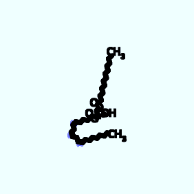 CCCCCCCC/C=C\C/C=C\C/C=C\CCCC(=O)O[C@@H](CO)COC(=O)CCCCCCCCCCCCCC